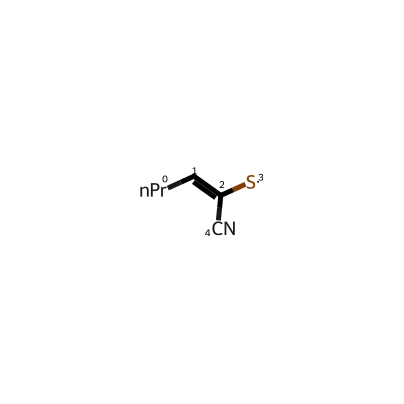 CCC/C=C(/[S])C#N